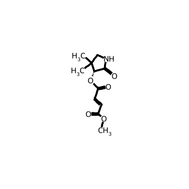 COC(=O)/C=C/C(=O)O[C@H]1C(=O)NCC1(C)C